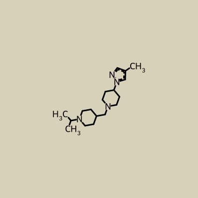 Cc1cnn(C2CCN(CC3CCN(C(C)C)CC3)CC2)c1